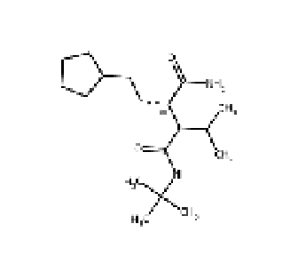 CC(C)C(C(=O)NC(C)(C)C)[C@H](CCC1CCCC1)C(N)=O